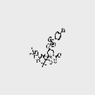 COC(=O)[C@@H]1C[C@H](OS(=O)(=O)c2ccc(Br)cc2)CN1C(=O)[C@@H](NC(=O)OC(C)(C)C)C(C)(C)C